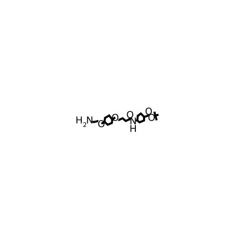 CC(C)(C)OC(=O)C1CCC(NC(=O)CCCOC2CCC(OCCN)CC2)CC1